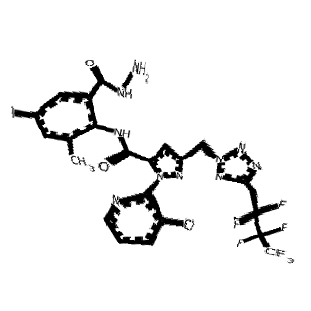 Cc1cc(I)cc(C(=O)NN)c1NC(=O)c1cc(Cn2nnc(C(F)(F)C(F)(F)C(F)(F)F)n2)nn1-c1ncccc1Cl